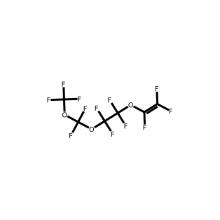 FC(F)=C(F)OC(F)(F)C(F)(F)OC(F)(F)OC(F)(F)F